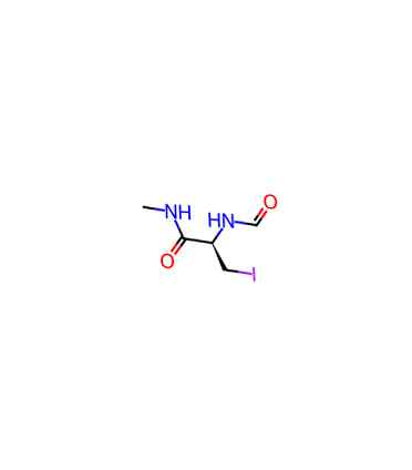 CNC(=O)[C@H](CI)NC=O